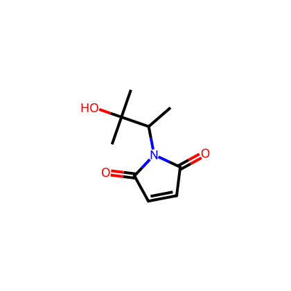 CC(N1C(=O)C=CC1=O)C(C)(C)O